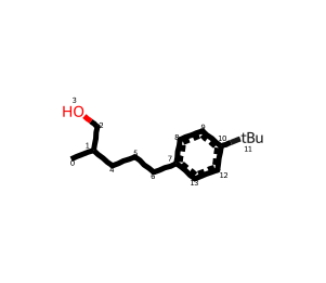 CC(CO)CCCc1ccc(C(C)(C)C)cc1